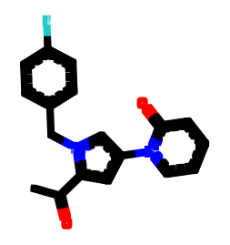 CC(=O)c1cc(-n2ccccc2=O)cn1Cc1ccc(F)cc1